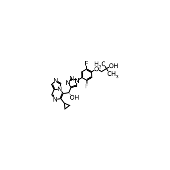 CC(C)(O)COc1cc(F)c(-n2cc([C@H](O)c3c(C4CC4)ncc4cncn34)nn2)cc1F